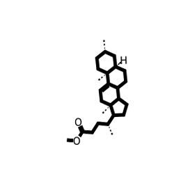 COC(=O)CC[C@@H](C)C1CCC2C3CC[C@@H]4C[C@@H](C)CC[C@]4(C)C3=CC[C@@]21C